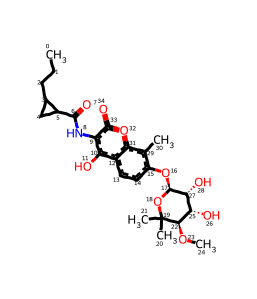 CCCC1CC1C(=O)Nc1c(O)c2ccc(O[C@@H]3OC(C)(C)[C@H](OC)[C@@H](O)[C@H]3O)c(C)c2oc1=O